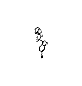 C#Cc1ccc2c(C(=O)N[C@@H]3CN4CCC3CC4)snc2c1